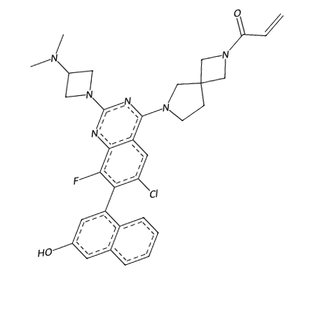 C=CC(=O)N1CC2(CCN(c3nc(N4CC(N(C)C)C4)nc4c(F)c(-c5cc(O)cc6ccccc56)c(Cl)cc34)C2)C1